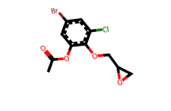 CC(=O)Oc1cc(Br)cc(Cl)c1OCC1CO1